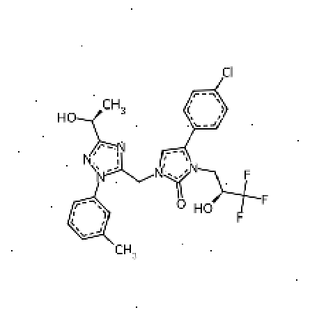 Cc1cccc(-n2nc([C@H](C)O)nc2Cn2cc(-c3ccc(Cl)cc3)n(C[C@H](O)C(F)(F)F)c2=O)c1